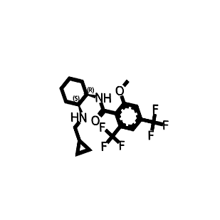 COc1cc(C(F)(F)F)cc(C(F)(F)F)c1C(=O)N[C@@H]1CCCC[C@@H]1NCC1CC1